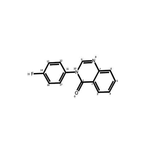 O=c1c2ccccc2ncn1-c1ccc(F)cc1